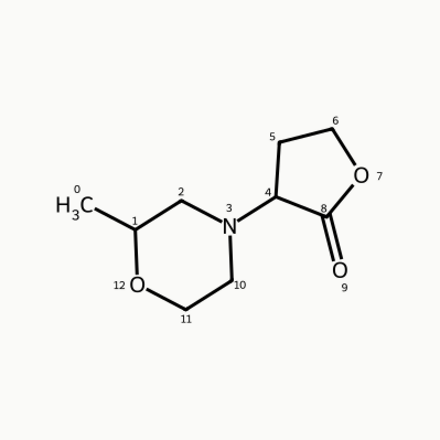 CC1CN(C2CCOC2=O)CCO1